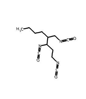 CCCCC(CN=C=O)C(CCN=C=O)N=C=O